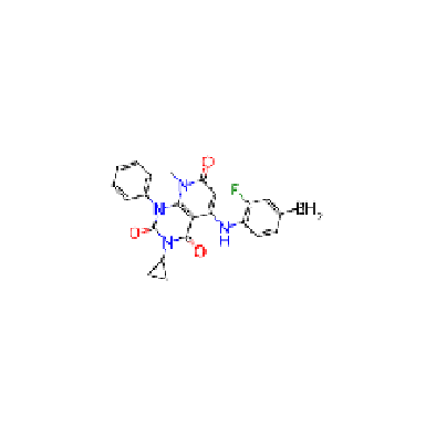 Bc1ccc(Nc2cc(=O)n(C)c3c2c(=O)n(C2CC2)c(=O)n3-c2ccccc2)c(F)c1